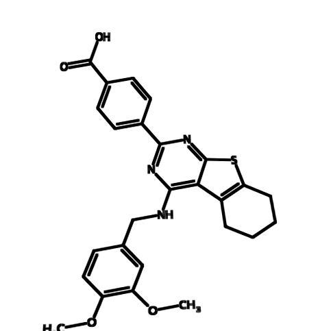 COc1ccc(CNc2nc(-c3ccc(C(=O)O)cc3)nc3sc4c(c23)CCCC4)cc1OC